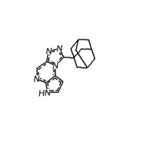 c1cc2c(ncc3nnc(C45CC6CC(CC(C6)C4)C5)n32)[nH]1